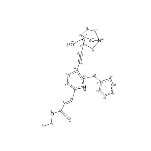 CCOC(=O)C=Cc1ccc(C#CC2(O)CN3CCC2CC3)c(Cc2ccccc2)n1